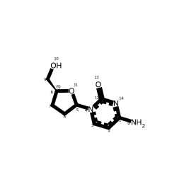 Nc1ccn(C2CC[C@@H](CO)O2)c(=O)n1